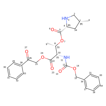 C[C@H]1CN[C@@H](C(=O)O[C@@H](C)[C@H](NC(=O)OCc2ccccc2)C(=O)OCC(=O)c2ccccc2)C1